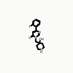 O=c1cc(-c2ccccc2F)ncn1CC1(O)CCNCC1